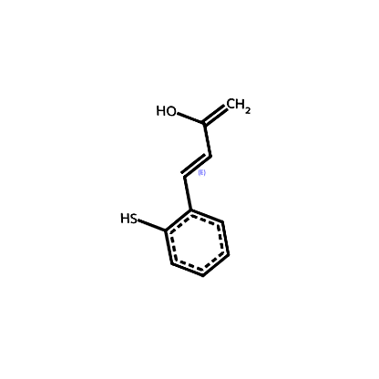 C=C(O)/C=C/c1ccccc1S